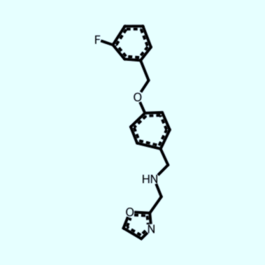 Fc1cccc(COc2ccc(CNCc3ncco3)cc2)c1